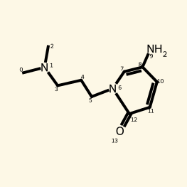 CN(C)CCCn1cc(N)ccc1=O